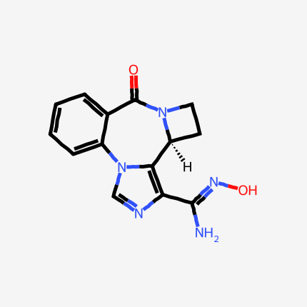 NC(=NO)c1ncn2c1[C@@H]1CCN1C(=O)c1ccccc1-2